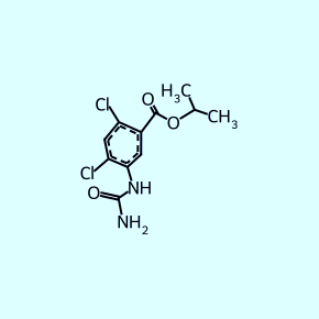 CC(C)OC(=O)c1cc(NC(N)=O)c(Cl)cc1Cl